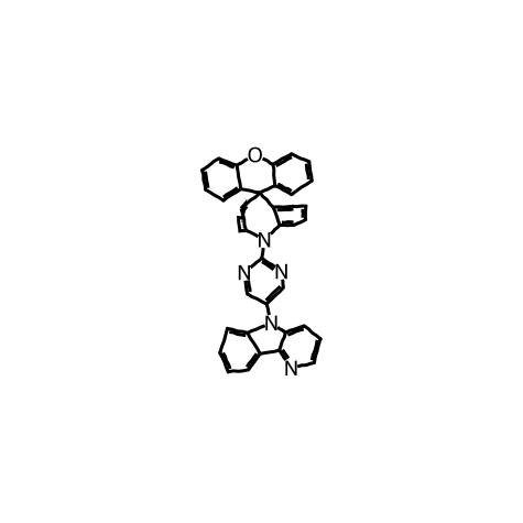 c1ccc2c(c1)Oc1ccccc1C21c2ccccc2N(c2ncc(-n3c4ccccc4c4ncccc43)cn2)c2ccccc21